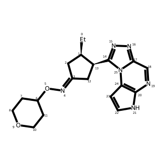 CC[C@@H]1CC(=NOC2CCOCC2)C[C@@H]1c1nnc2cnc3[nH]ccc3n12